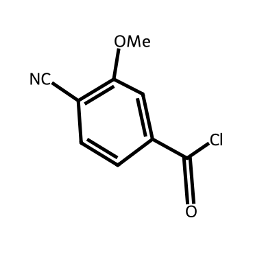 COc1cc(C(=O)Cl)ccc1C#N